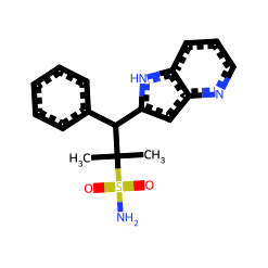 CC(C)(C(c1ccccc1)c1cc2ncccc2[nH]1)S(N)(=O)=O